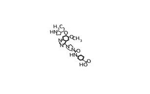 CCC(Oc1cc2ncnc(N3CCN(C(=O)Nc4ccc(C(=O)O)cc4)CC3)c2cc1OC)C1CCNC1